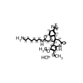 COc1cc2c(cc1OC)-c1c(c3cc(C(F)(F)F)ccc3n1CC(=O)NCCCCCCN)CC(=O)N2.Cl